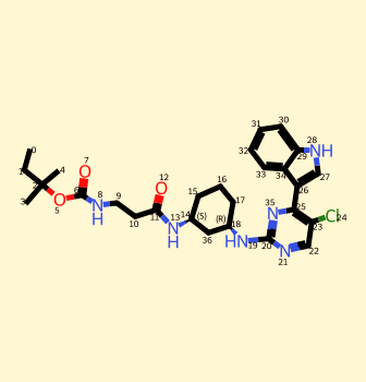 CCC(C)(C)OC(=O)NCCC(=O)N[C@H]1CCC[C@@H](Nc2ncc(Cl)c(-c3c[nH]c4ccccc34)n2)C1